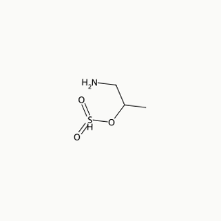 CC(CN)O[SH](=O)=O